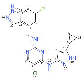 Fc1cc(CNc2ncc(Cl)c(Nc3cc(C4CC4)[nH]n3)n2)c2cn[nH]c2c1